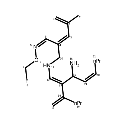 C=C(C)/C=C(\C=N/OCF)CN/C=C(/C(=C)CCC)C(N)/C=C\CCC